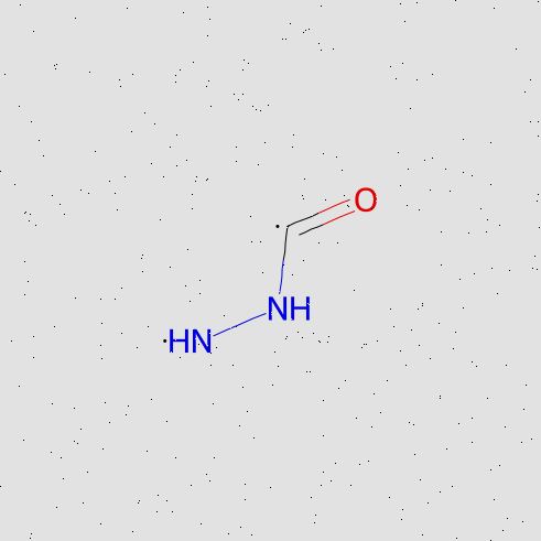 [NH]N[C]=O